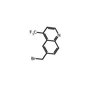 FC(F)(F)c1ccnc2ccc(CBr)cc12